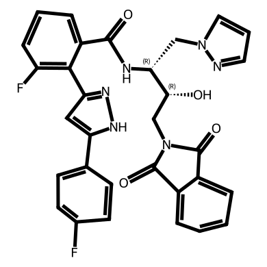 O=C(N[C@H](Cn1cccn1)[C@H](O)CN1C(=O)c2ccccc2C1=O)c1cccc(F)c1-c1cc(-c2ccc(F)cc2)[nH]n1